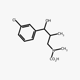 CC(CN(C)C(=O)O)C(O)c1cccc(Cl)c1